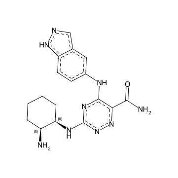 NC(=O)c1nnc(N[C@@H]2CCCC[C@@H]2N)nc1Nc1ccc2[nH]ncc2c1